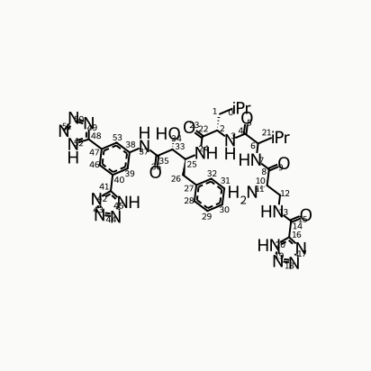 CC(C)C[C@H](NC(=O)C(NC(=O)[C@@H](N)CNC(=O)c1nnn[nH]1)C(C)C)C(=O)N[C@@H](Cc1ccccc1)[C@@H](O)C(=O)Nc1cc(-c2nnn[nH]2)cc(-c2nnn[nH]2)c1